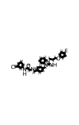 N=c1n(CCCOc2ccc(F)cc2)c2ccccc2n1Cc1ccc(CNCC(=O)Nc2cccc(Cl)c2)cc1